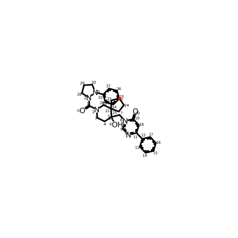 O=C(N1CC[C@@](O)(Cn2cnc(-c3ccccc3)cc2=O)C2(CCCC2)C1)N1CCCN1c1ccccc1